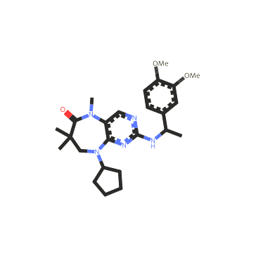 COc1ccc(C(C)Nc2ncc3c(n2)N(C2CCCC2)CC(C)(C)C(=O)N3C)cc1OC